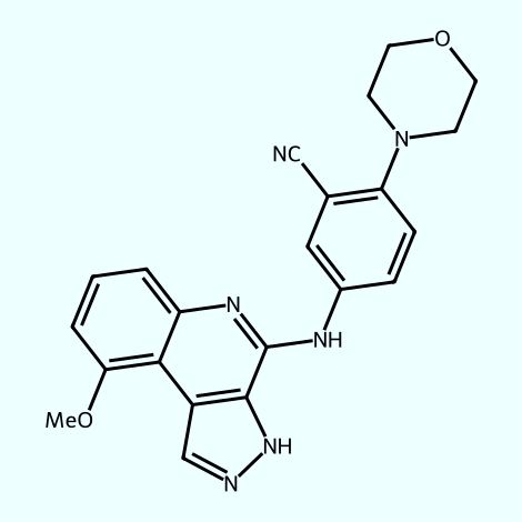 COc1cccc2nc(Nc3ccc(N4CCOCC4)c(C#N)c3)c3[nH]ncc3c12